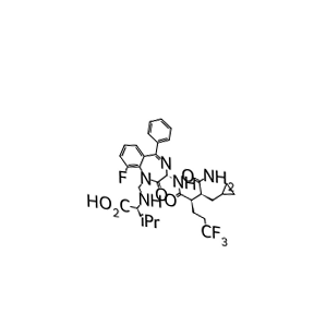 CC(C)[C@H](NCN1C(=O)[C@@H](NC(=O)[C@H](CCC(F)(F)F)[C@H](CC2CC2)C(N)=O)N=C(c2ccccc2)c2cccc(F)c21)C(=O)O